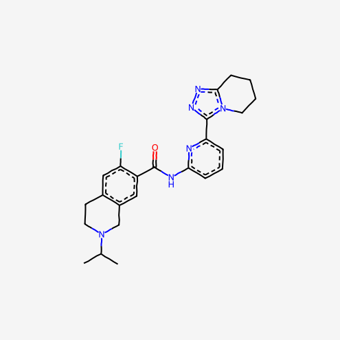 CC(C)N1CCc2cc(F)c(C(=O)Nc3cccc(-c4nnc5n4CCCC5)n3)cc2C1